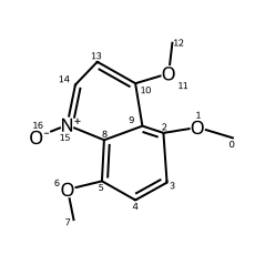 COc1ccc(OC)c2c1c(OC)cc[n+]2[O-]